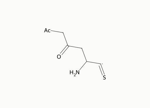 CC(=O)CC(=O)CC(N)[C]=S